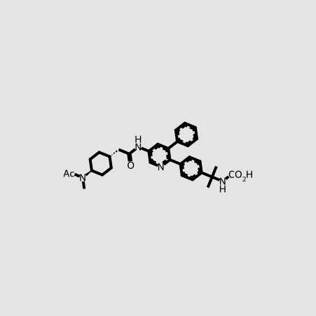 CC(=O)N(C)[C@H]1CC[C@H](CC(=O)Nc2cnc(-c3ccc(C(C)(C)NC(=O)O)cc3)c(-c3ccccc3)c2)CC1